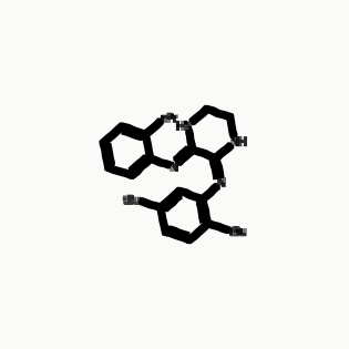 CCCc1ccccc1/N=C1\NCCN\C1=N\c1cc(C(C)(C)C)ccc1C(C)(C)C